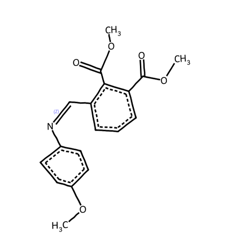 COC(=O)c1cccc(/C=N\c2ccc(OC)cc2)c1C(=O)OC